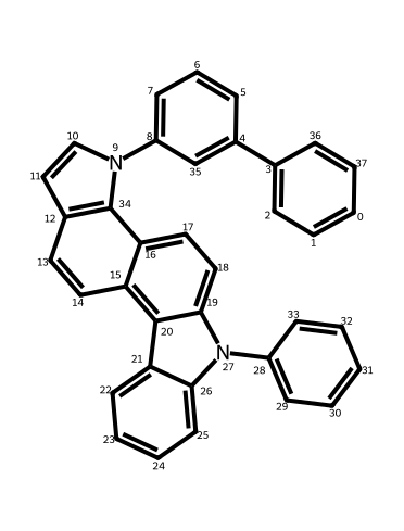 c1ccc(-c2cccc(-n3ccc4ccc5c(ccc6c5c5ccccc5n6-c5ccccc5)c43)c2)cc1